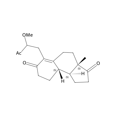 COC(CC1=C2CC[C@]3(C)C(=O)CC[C@H]3[C@@H]2CCC1=O)C(C)=O